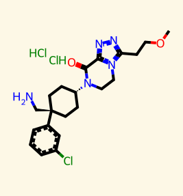 COCCc1nnc2n1CCN([C@H]1CC[C@@](CN)(c3cccc(Cl)c3)CC1)C2=O.Cl.Cl